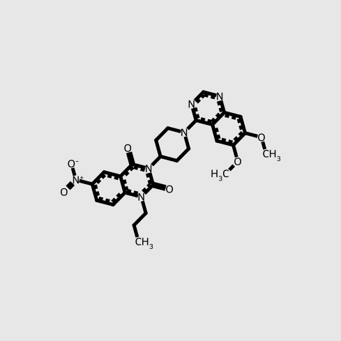 CCCn1c(=O)n(C2CCN(c3ncnc4cc(OC)c(OC)cc34)CC2)c(=O)c2cc([N+](=O)[O-])ccc21